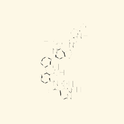 COc1nc(-c2cccc(-c3c(F)ccc(NC(=O)C4=CC=NN(C)C4O)c3C)c2Cl)cc2c1C(N1CC3(CCC(=O)N3)C1)CC2